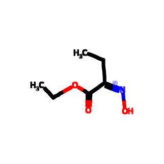 CCOC(=O)/C(CC)=N\O